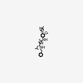 COc1cc(Nc2nc([C@H](CC(C)C)NCCc3ccccc3)cs2)ccc1-n1cnc(C)c1